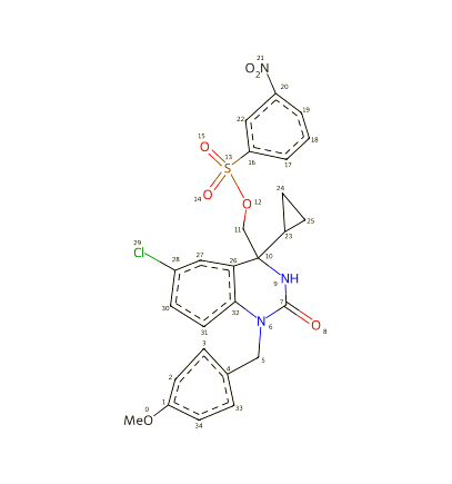 COc1ccc(CN2C(=O)NC(COS(=O)(=O)c3cccc([N+](=O)[O-])c3)(C3CC3)c3cc(Cl)ccc32)cc1